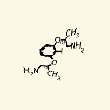 C[C@@H](CN)Oc1cccc(O[C@@H](C)CN)c1I